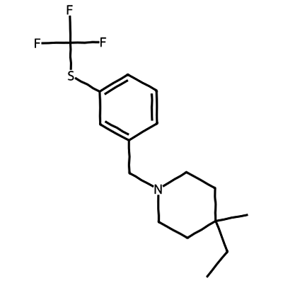 CCC1(C)CCN(Cc2cccc(SC(F)(F)F)c2)CC1